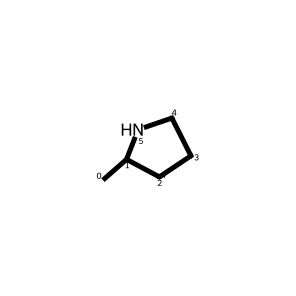 CC1[CH]CCN1